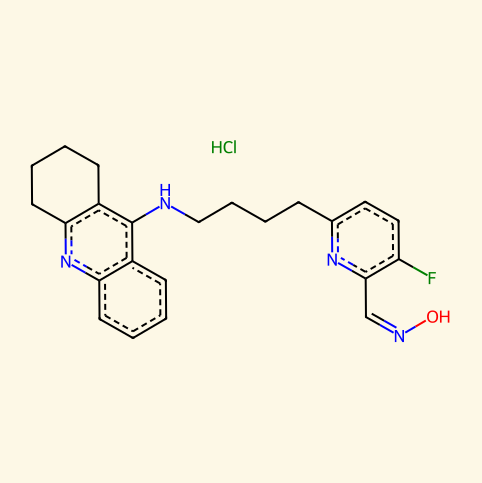 Cl.O/N=C\c1nc(CCCCNc2c3c(nc4ccccc24)CCCC3)ccc1F